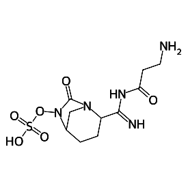 N=C(NC(=O)CCN)C1CCC2CN1C(=O)N2OS(=O)(=O)O